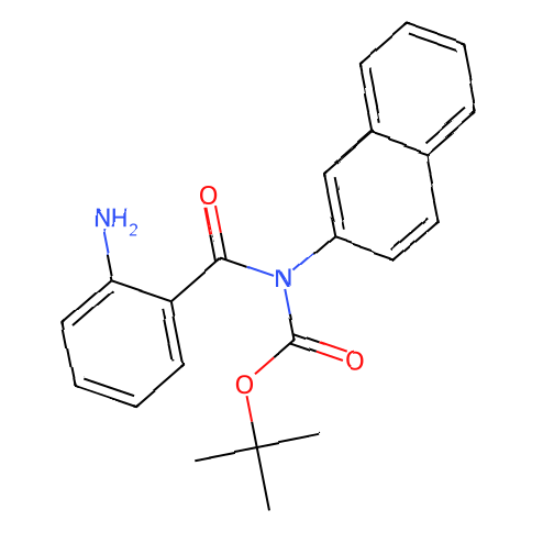 CC(C)(C)OC(=O)N(C(=O)c1ccccc1N)c1ccc2ccccc2c1